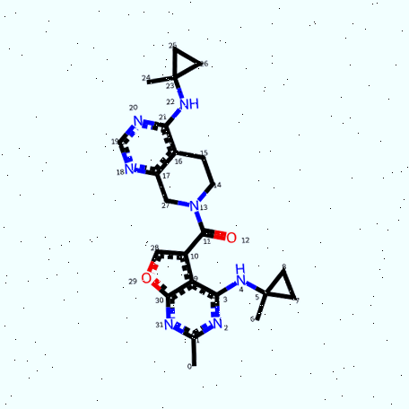 Cc1nc(NC2(C)CC2)c2c(C(=O)N3CCc4c(ncnc4NC4(C)CC4)C3)coc2n1